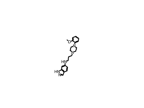 COc1ccccc1N1CCN(CCCNc2ccc3cn[nH]c3c2)CC1